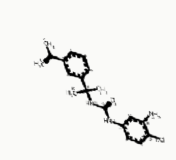 C=C(C)c1cccc(C(C)(C)NC(=O)Nc2ccc(Cl)c(N)c2)c1